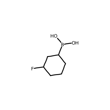 OB(O)C1CCCC(F)C1